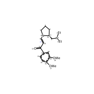 CCN(CC)C[C@@H]1CCCN1/C=C/C(=O)c1ccc(OC)c(OC)c1